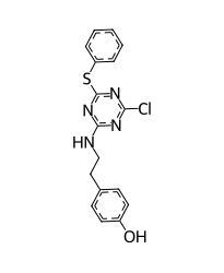 Oc1ccc(CCNc2nc(Cl)nc(Sc3ccccc3)n2)cc1